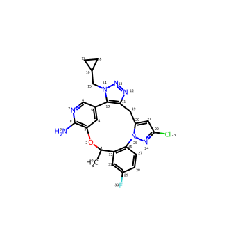 CC1Oc2cc(cnc2N)-c2c(nnn2CC2CC2)Cc2cc(Cl)nn2-c2ccc(F)cc21